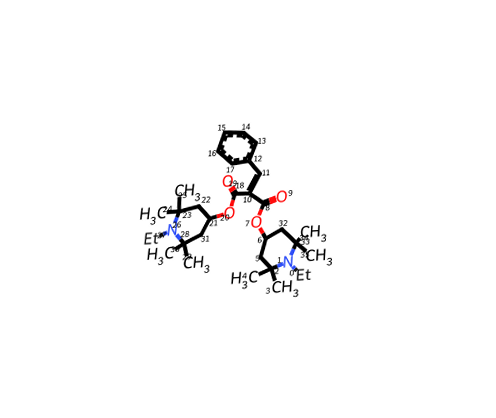 CCN1C(C)(C)CC(OC(=O)C(=Cc2ccccc2)C(=O)OC2CC(C)(C)N(CC)C(C)(C)C2)CC1(C)C